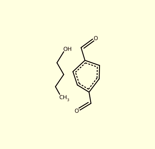 CCCCO.O=Cc1ccc(C=O)cc1